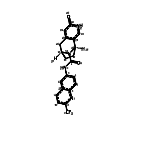 O=C(Nc1ccc2nc(C(F)(F)F)ccc2c1)N1[C@H]2CC[C@@H]1c1c[nH]c(=O)cc1C2